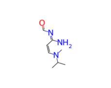 CC(C)N(C)/C=C\C(N)=N/C=O